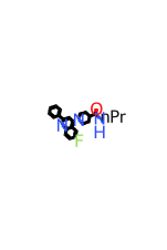 CCCNC(=O)C1CCN(c2cc(-c3ccccc3)nc3ccc(F)cc23)CC1